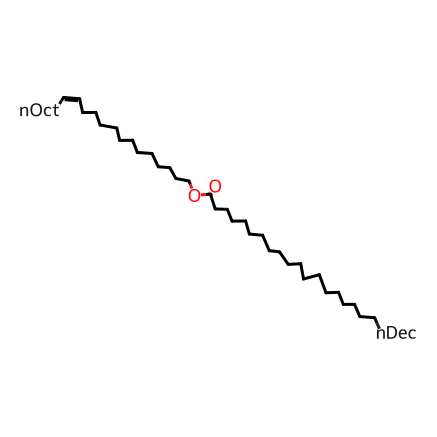 CCCCCCCC/C=C\CCCCCCCCCCCCOC(=O)CCCCCCCCCCCCCCCCCCCCCCCCCCCC